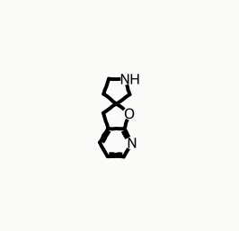 c1cnc2c(c1)CC1(CCNC1)O2